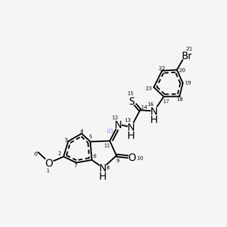 COc1ccc2c(c1)NC(=O)/C2=N\NC(=S)Nc1ccc(Br)cc1